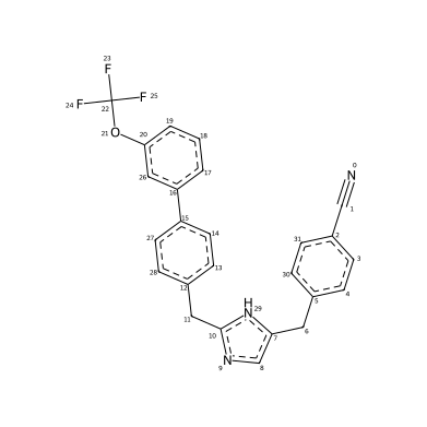 N#Cc1ccc(Cc2cnc(Cc3ccc(-c4cccc(OC(F)(F)F)c4)cc3)[nH]2)cc1